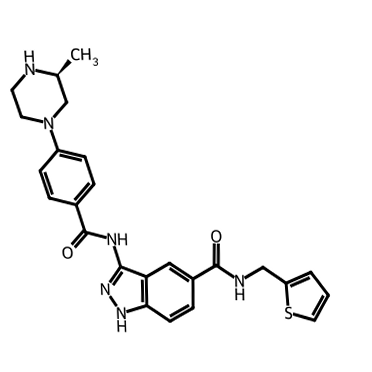 C[C@H]1CN(c2ccc(C(=O)Nc3n[nH]c4ccc(C(=O)NCc5cccs5)cc34)cc2)CCN1